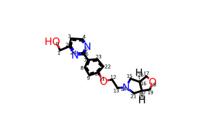 OCc1ccnc(-c2ccc(OCCN3C[C@H]4COC[C@H]4C3)cc2)n1